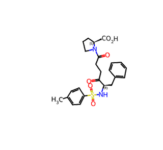 Cc1ccc(S(=O)(=O)N[C@H](Cc2ccccc2)C(=O)CCC(=O)N2CCC[C@H]2C(=O)O)cc1